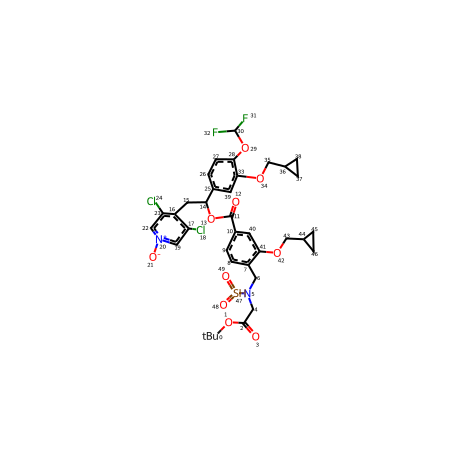 CC(C)(C)OC(=O)CN(Cc1ccc(C(=O)OC(Cc2c(Cl)c[n+]([O-])cc2Cl)c2ccc(OC(F)F)c(OCC3CC3)c2)cc1OCC1CC1)[SH](=O)=O